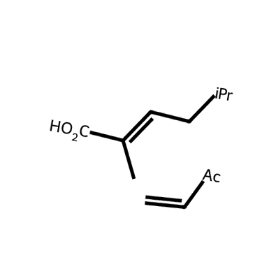 C=CC(C)=O.CC(=CCC(C)C)C(=O)O